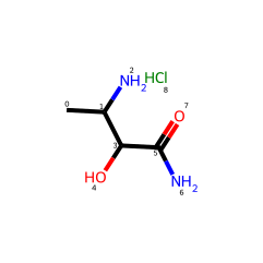 CC(N)C(O)C(N)=O.Cl